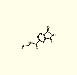 C=CCNC(=O)c1ccc2c(c1)C(=O)NC2=O